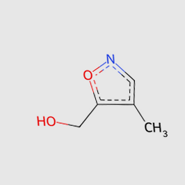 Cc1cnoc1CO